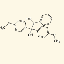 COc1ccc(C(O)(c2ccc(OC)cc2)[C@H](O)c2ccccc2)cc1